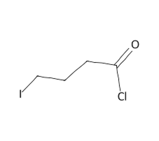 O=C(Cl)CCCI